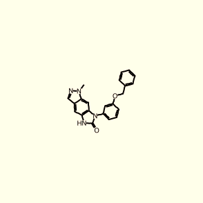 Cn1ncc2cc3[nH]c(=O)n(-c4cccc(OCc5ccccc5)c4)c3cc21